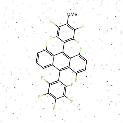 COc1c(F)c(F)c(-c2c3c(F)cccc3c(-c3c(F)c(F)c(F)c(F)c3F)c3c(F)ccc(F)c23)c(F)c1F